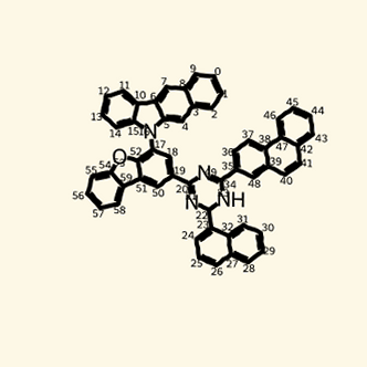 c1ccc2cc3c(cc2c1)c1ccccc1n3-c1cc(C2=NC(c3cccc4ccccc34)NC(c3ccc4c(ccc5ccccc54)c3)=N2)cc2c1oc1ccccc12